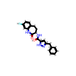 O=C(N[C@H]1CCc2ccc(F)cc2NC1=O)c1cc(Cc2ccccc2)n[nH]1